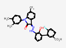 Cc1ccc(N2C(=O)C(=NNc3cccc(-c4cc(C(=O)O)ccc4F)c3O)c3ccc(C(F)(F)F)cc32)cc1C